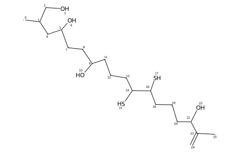 [CH2]C(CO)CC(O)CCC(O)CCCC(S)C(S)CCCC(O)C(=C)C